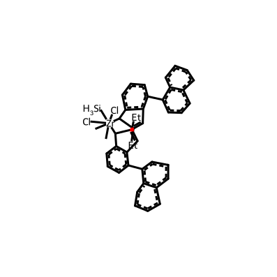 CCC1=Cc2c(-c3cccc4ccccc34)cccc2[CH]1[Zr]([CH3])([CH3])([SiH3])([Cl])([Cl])[CH]1C(CC)=Cc2c(-c3cccc4ccccc34)cccc21